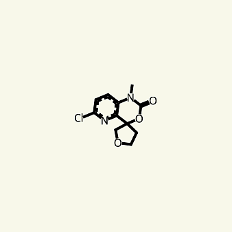 CN1C(=O)OC2(CCOC2)c2nc(Cl)ccc21